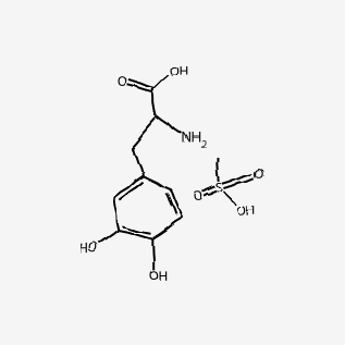 CS(=O)(=O)O.NC(Cc1ccc(O)c(O)c1)C(=O)O